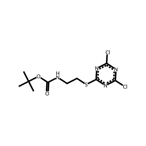 CC(C)(C)OC(=O)NCCSc1nc(Cl)nc(Cl)n1